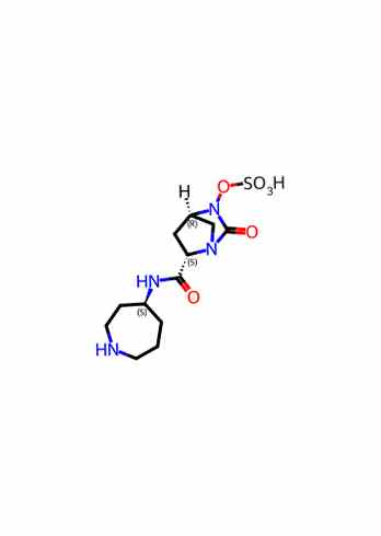 O=C(N[C@H]1CCCNCC1)[C@@H]1C[C@@H]2CN1C(=O)N2OS(=O)(=O)O